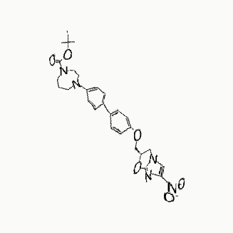 CC(C)(C)OC(=O)N1CCCN(c2ccc(-c3ccc(OC[C@H]4Cn5cc([N+](=O)[O-])nc5O4)cc3)cc2)CC1